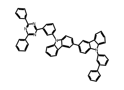 c1ccc(-c2cccc(-n3c4ccccc4c4cc(-c5ccc6c(c5)c5ccccc5n6-c5cccc(-c6nc(-c7ccccc7)nc(-c7ccccc7)n6)c5)ccc43)c2)cc1